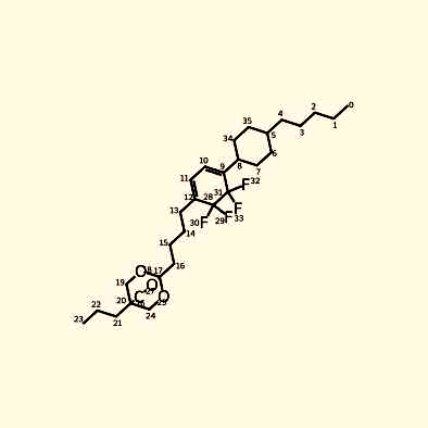 CCCCCC1CCC(C2=CC=C(CCCCC34OCC(CCC)(CO3)CO4)C(F)(F)C2(F)F)CC1